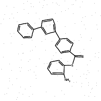 C=C(Sc1ccccc1N)c1ccc(-c2cccc(-c3ccccc3)c2)cc1